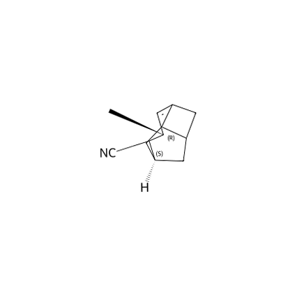 C[C@@H]1C=C2CC3C[C@@H](CC23)C1C#N